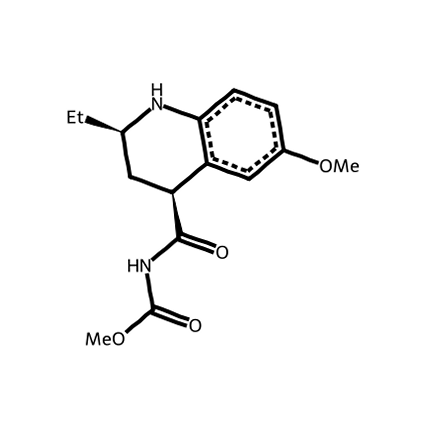 CC[C@@H]1C[C@H](C(=O)NC(=O)OC)c2cc(OC)ccc2N1